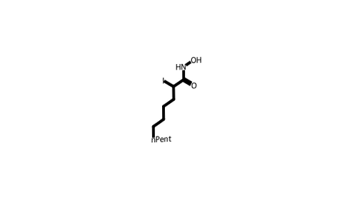 CCCCCCCCCC(I)C(=O)NO